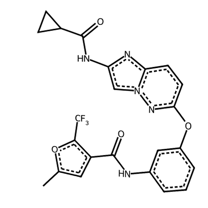 Cc1cc(C(=O)Nc2cccc(Oc3ccc4nc(NC(=O)C5CC5)cn4n3)c2)c(C(F)(F)F)o1